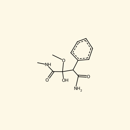 CNC(=O)C(O)(OC)C(C(N)=O)c1ccccc1